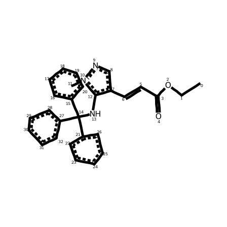 CCOC(=O)/C=C/c1cnn(C)c1NC(c1ccccc1)(c1ccccc1)c1ccccc1